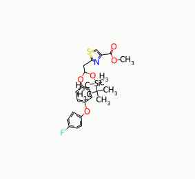 COC(=O)c1csc(CC(Oc2ccc(Oc3ccc(F)cc3)cc2)O[Si](C)(C)C(C)(C)C)n1